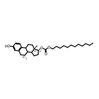 CCCCCCCCCCCCOC(=O)O[C@H]1CCC2C3C(CC[C@@]21C)c1ccc(O)cc1C[C@H]3C